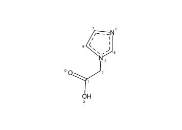 O=C(O)Cn1[c]ncc1